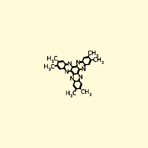 Cc1cc2nc3c4nc5cc(C)c(C)cc5nc4c4nc5cc(C)c(C)cc5nc4c3nc2cc1C